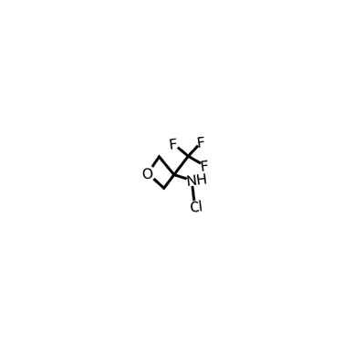 FC(F)(F)C1(NCl)COC1